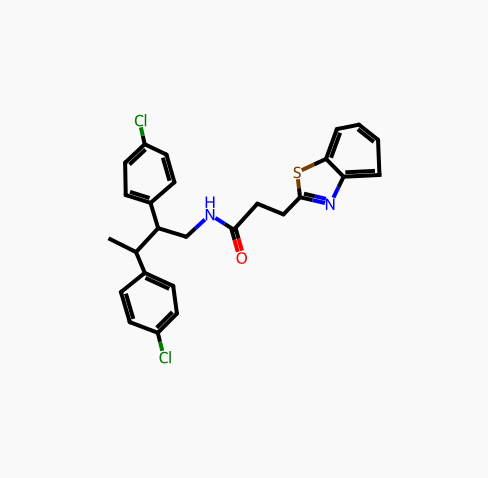 CC(c1ccc(Cl)cc1)C(CNC(=O)CCc1nc2ccccc2s1)c1ccc(Cl)cc1